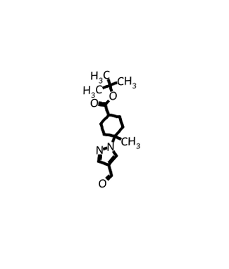 CC(C)(C)OC(=O)C1CCC(C)(n2cc(C=O)cn2)CC1